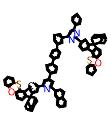 c1ccc(-c2cc(-c3cccc(-c4ccc(-c5ccc(-c6cc(-c7ccc8c(c7)C7(c9ccc%10c(c9-8)Sc8ccccc8O%10)C8CC9CC(C8)CC7C9)nc(-c7ccc8ccccc8c7)c6)cc5)cc4)c3)nc(-c3ccc4c(c3)C3(c5ccc6c(c5-4)Sc4ccccc4O6)C4CC5CC(C4)CC3C5)n2)cc1